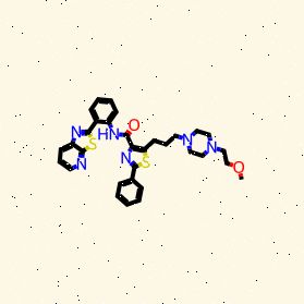 COCCN1CCN(CCCc2sc(-c3ccccc3)nc2C(=O)Nc2ccccc2-c2nc3cccnc3s2)CC1